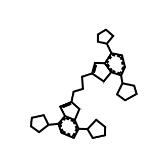 [CH]1C(CCCC2=Cc3c(C4CCCC4)ccc(C4CCCC4)c3[CH]2)=Cc2c(C3CCCC3)ccc(C3CCCC3)c21